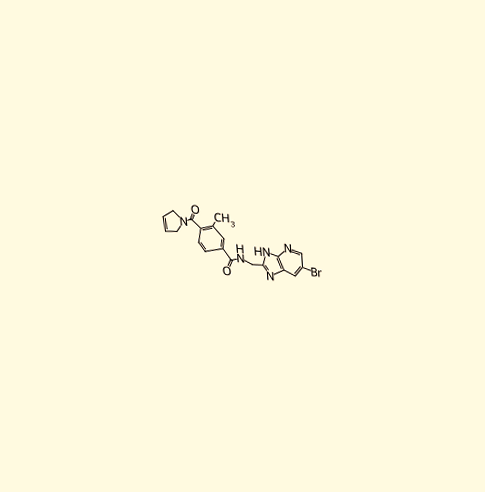 Cc1cc(C(=O)NCc2nc3cc(Br)cnc3[nH]2)ccc1C(=O)N1CC=CC1